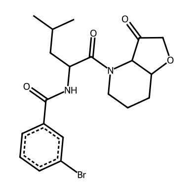 CC(C)CC(NC(=O)c1cccc(Br)c1)C(=O)N1CCCC2OCC(=O)C21